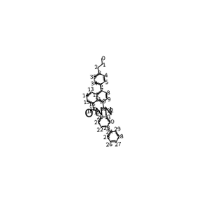 CCCc1ccc(-c2ccc3c4c2cccc4c(=O)n2c4ccc(-c5ccccc5)cc4nc32)cc1